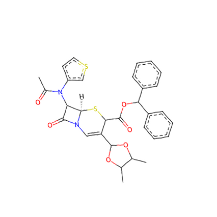 CC(=O)N(c1ccsc1)C1C(=O)N2C=C(C3OC(C)C(C)O3)C(C(=O)OC(c3ccccc3)c3ccccc3)S[C@H]12